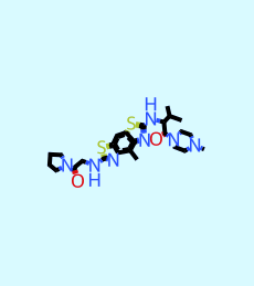 Cc1c2nc(NCC(=O)N3CCCC3)sc2cc2sc(NC(C(=O)N3CCN(C)CC3)C(C)C)nc12